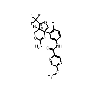 COc1cnc(C(=O)Nc2ccc(F)c(C34CO[C@H](C(F)(F)F)[C@H]3COC(N)=N4)c2)cn1